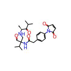 CC(C)C(=O)[C@H](C)NCC(C=O)(NC(=O)Cc1ccc(N2C(=O)C=CC2=O)cc1)C(C)C